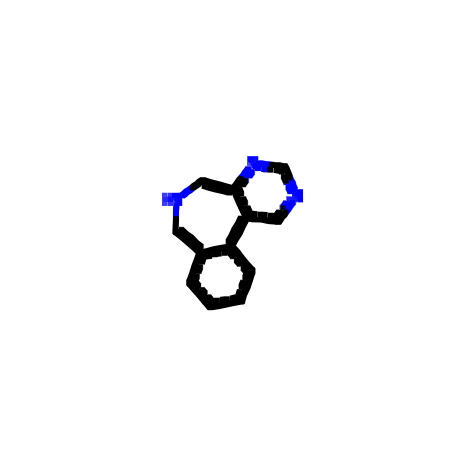 C1=c2ccccc2=c2cncnc2=CN1